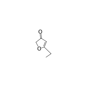 CCC1=CC(=O)CO1